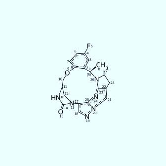 C[C@@H]1c2cc(F)ccc2OCC2CN(C(=O)N2)c2cnn3cc4c(nc23)N1CC4